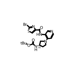 CC(C)(C)OC(=O)N[C@H]1CCN(c2ccncc2NC(=O)c2csc(Br)n2)C1